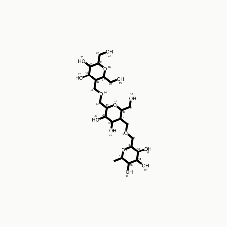 CC1OC(COCC2C(CO)OC(COCC3C(CO)OC(CO)C(O)C3O)C(O)C2O)C(O)C(O)C1O